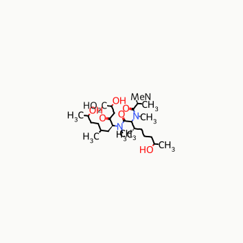 CN[C@@H](C)C(=O)N(C)[C@H](C(=O)N(C)[C@@H](CC(C)CCC(C)O)C(=O)CC(O)C(=O)O)[C@@H](C)CCCC(C)O